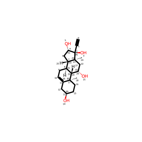 C#C[C@@]1(O)[C@@H](O)C[C@H]2[C@@H]3CC=C4C[C@H](O)CC[C@]4(C)[C@H]3[C@@H](O)C[C@@]21C